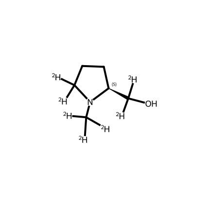 [2H]C([2H])(O)[C@@H]1CCC([2H])([2H])N1C([2H])([2H])[2H]